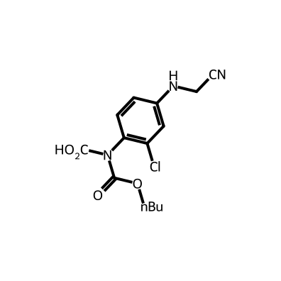 CCCCOC(=O)N(C(=O)O)c1ccc(NCC#N)cc1Cl